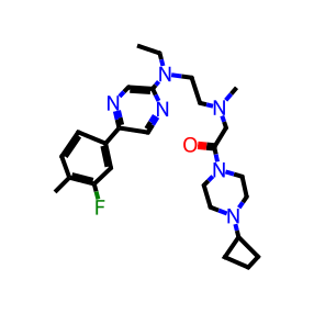 CCN(CCN(C)CC(=O)N1CCN(C2CCC2)CC1)c1cnc(-c2ccc(C)c(F)c2)cn1